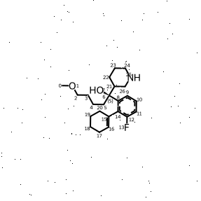 COCCCC[C@@](O)(c1cccc(F)c1C1=CCCCC1)C1CCCNC1